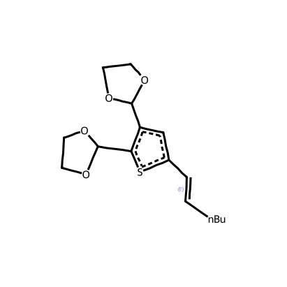 CCCC/C=C/c1cc(C2OCCO2)c(C2OCCO2)s1